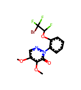 COc1cnn(-c2ccccc2OC(F)C(F)(F)Br)c(=O)c1OC